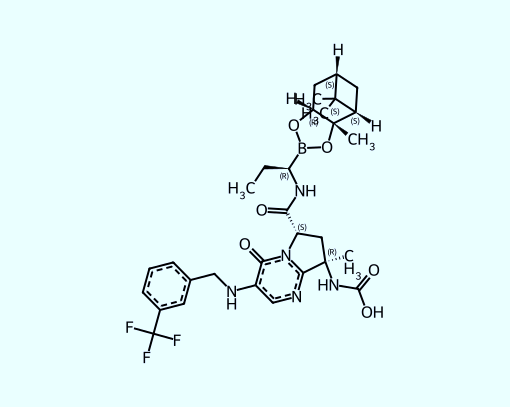 CC[C@H](NC(=O)[C@@H]1C[C@@](C)(NC(=O)O)c2ncc(NCc3cccc(C(F)(F)F)c3)c(=O)n21)B1O[C@@H]2C[C@@H]3C[C@@H](C3(C)C)[C@]2(C)O1